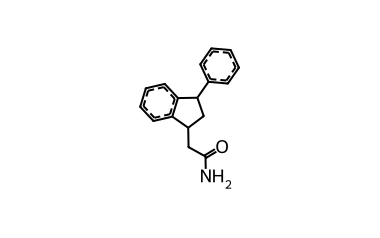 NC(=O)CC1CC(c2ccccc2)c2ccccc21